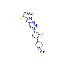 COC(=S)NCc1cn(-c2ccc(C3=CCN(C(C)=O)CC3)c(F)c2)nn1